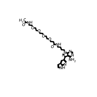 CC(=O)NCCOCCOCCOCCOCCC(=O)NCCCCn1nc(-c2cnc3[nH]ccc3c2)c2c(N)ncnc21